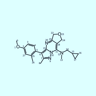 COc1ccc(-c2c(C)nn3c(N(C)CC4CC4)c4c(nc23)COC4)c(C)c1